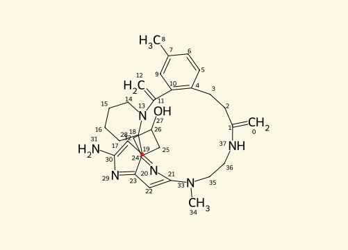 C=C1CCc2ccc(C)cc2C(=C)N2CCCCC2C2=N\C(=C/C(C3CC(O)C3)=N/C(N)=C\2)N(C)CCN1